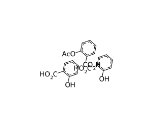 CC(=O)Oc1ccccc1C(=O)O.O=C(O)c1ccccc1O.O=C(O)c1ccccc1O